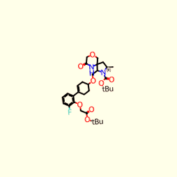 C[C@@H]1CC2(COCC(=O)N2)C(COC2CC=C(c3cccc(F)c3OCC(=O)OC(C)(C)C)CC2)N1C(=O)OC(C)(C)C